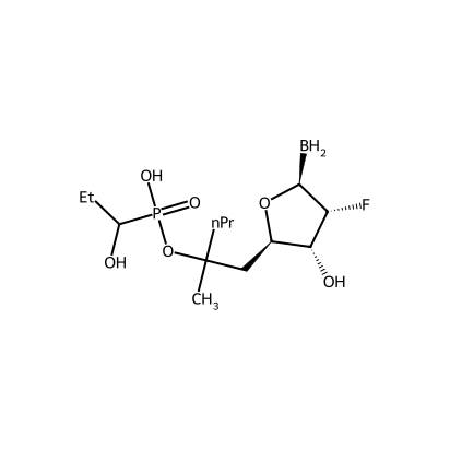 B[C@@H]1O[C@H](CC(C)(CCC)OP(=O)(O)C(O)CC)[C@@H](O)[C@H]1F